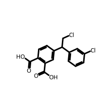 O=C(O)c1ccc(C(CCl)c2cccc(Cl)c2)cc1C(=O)O